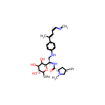 C=N/C=C\C=C(/C)c1ccc(NC[C@@H](NC(=O)[C@@H]2C[C@@H](CCC)CN2C)[C@H]2OC(SC)[C@H](O)C(O)C2O)cc1